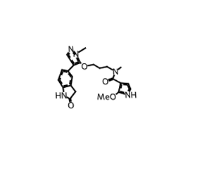 COc1[nH]ccc1C(=O)N(C)CCCOc1c(-c2ccc3c(c2)CC(=O)N3)cnn1C